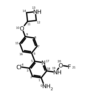 Nc1cc(Cl)c(-c2ccc(OC3CNC3)cc2)nc1NOF